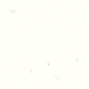 NCCCc1ccc(-n2cnc3cnc4ccc(-c5cccs5)cc4c32)c(Cl)c1